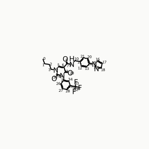 CCCCn1cc(C(=O)NCc2ccc(-n3cccn3)cc2)c(=O)n(-c2cccc(C(F)(F)F)c2)c1=O